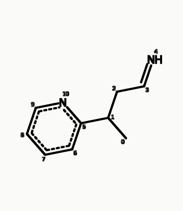 CC(CC=N)c1ccccn1